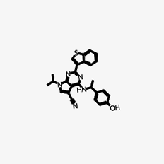 CC(Nc1nc(-c2csc3ccccc23)nc2c1c(C#N)cn2C(C)C)c1ccc(O)cc1